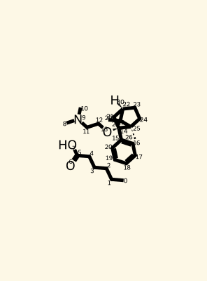 CCCCCC(=O)O.CN(C)CCO[C@]1(c2ccccc2)C[C@H]2CC[C@]1(C)C2(C)C